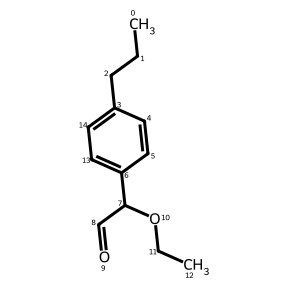 CCCc1ccc(C(C=O)OCC)cc1